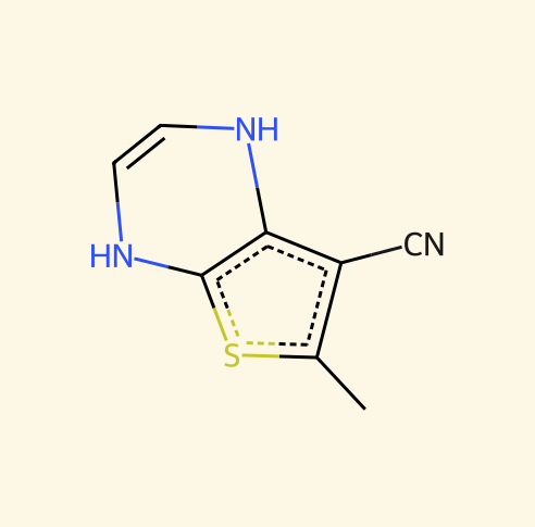 Cc1sc2c(c1C#N)NC=CN2